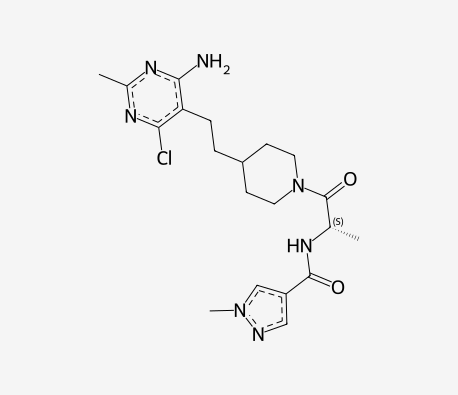 Cc1nc(N)c(CCC2CCN(C(=O)[C@H](C)NC(=O)c3cnn(C)c3)CC2)c(Cl)n1